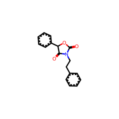 O=C1OC(c2ccccc2)C(=O)N1CCc1ccccc1